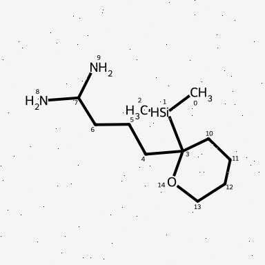 C[SiH](C)C1(CCCC(N)N)CCCCO1